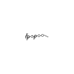 CCCCCC1CCC(C2CCC(c3ccc(C4=CCC(c5cc(F)c(F)c(F)c5)CC4)c(F)c3)CC2)CC1